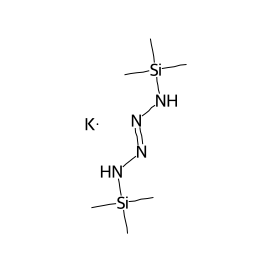 C[Si](C)(C)NN=NN[Si](C)(C)C.[K]